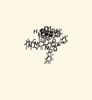 Cn1c(CN2CCCC2)cc2cc(-c3nc(OCc4ccccc4)c(C(=O)OCc4ccccc4)c(OCc4ccccc4)c3CO[Si](C)(C)C(C)(C)C)c(COCC[Si](C)(C)C)cc21